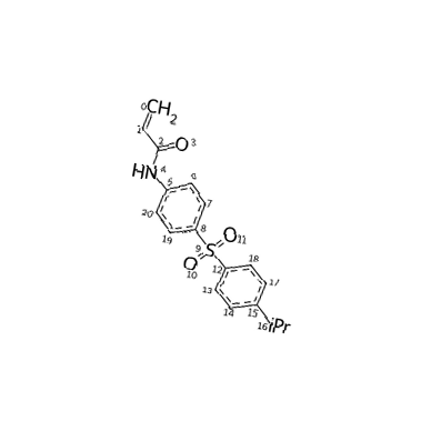 C=CC(=O)Nc1ccc(S(=O)(=O)c2ccc(C(C)C)cc2)cc1